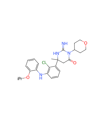 CC(C)Oc1ccccc1Nc1cccc(C2(C)CC(=O)N(C3CCOCC3)C(=N)N2)c1Cl